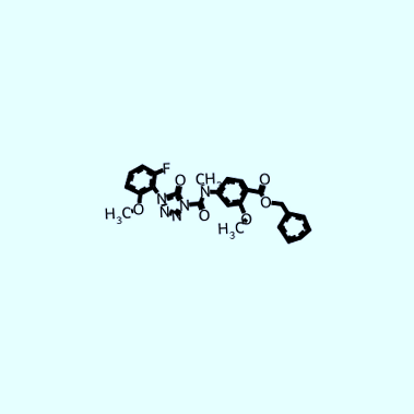 COc1cc(N(C)C(=O)n2nnn(-c3c(F)cccc3OC)c2=O)ccc1C(=O)OCc1ccccc1